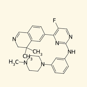 CN1CCN(c2cccc(Nc3ncc(F)c(-c4ccc5c(c4)C(C)(C)CN=C5)n3)c2)CC1